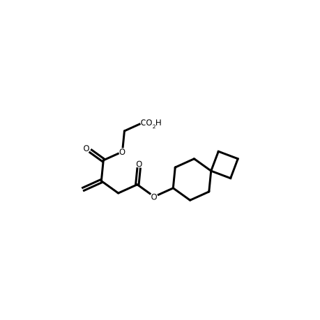 C=C(CC(=O)OC1CCC2(CCC2)CC1)C(=O)OCC(=O)O